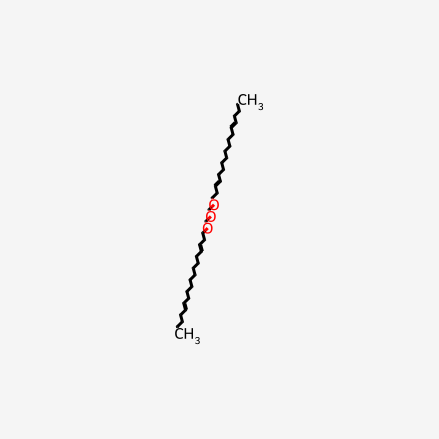 CCCC/C=C/CCCCCCCC/C=C/CCOCOCOCC/C=C/CCCCCCCC/C=C/CCCC